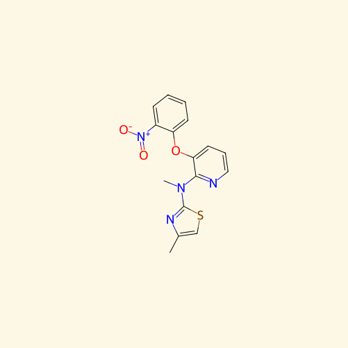 Cc1csc(N(C)c2ncccc2Oc2ccccc2[N+](=O)[O-])n1